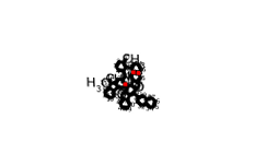 Cc1cccc(N(c2ccc3c(c2)C(C)(C)c2ccccc2-3)c2cccc3oc4c(-c5ccc6ccccc6c5)c5c(cc4c23)oc2ccccc25)c1-c1ccccc1